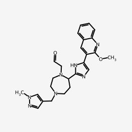 COc1nc2ccccc2cc1-c1cnc(C2CCN(Cc3cnn(C)c3)CCN2CC=O)[nH]1